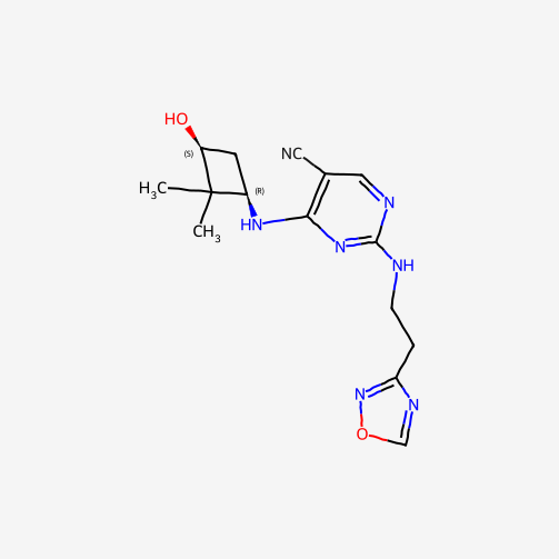 CC1(C)[C@@H](O)C[C@H]1Nc1nc(NCCc2ncon2)ncc1C#N